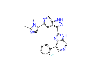 Cc1ncc(-c2cc3c(-c4nc5c(-c6ccccc6F)cncc5[nH]4)n[nH]c3cn2)n1C